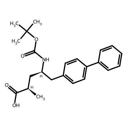 C[C@H](C[C@H](Cc1ccc(-c2ccccc2)cc1)NC(=O)OC(C)(C)C)C(=O)O